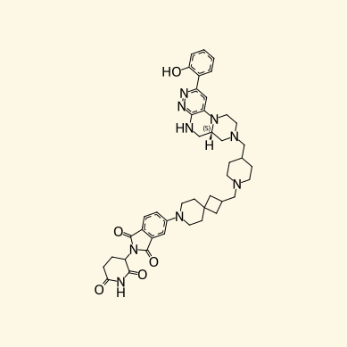 O=C1CCC(N2C(=O)c3ccc(N4CCC5(CC4)CC(CN4CCC(CN6CCN7c8cc(-c9ccccc9O)nnc8NC[C@H]7C6)CC4)C5)cc3C2=O)C(=O)N1